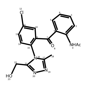 CC(=O)Nc1ccccc1C(=O)c1cc(Cl)ccc1-n1c(C)nnc1CO